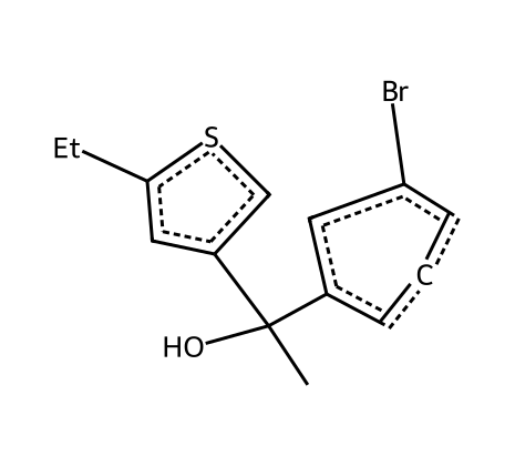 CCc1cc(C(C)(O)c2cccc(Br)c2)cs1